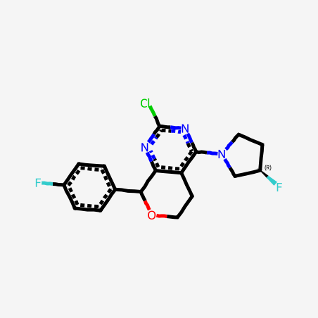 Fc1ccc(C2OCCc3c2nc(Cl)nc3N2CC[C@@H](F)C2)cc1